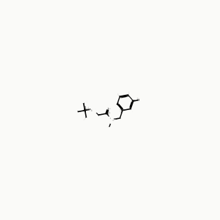 CN(Cc1cccc(Cl)c1)C(=O)COC(C)(C)C